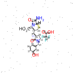 N[C@@H]1C(=O)N2C(C(=O)O)=C(/C=C3\CCN(Cc4cccc(O)c4)C3=O)CS[C@H]12.O=C(O)C(F)(F)F